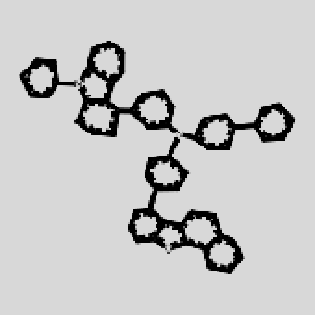 c1ccc(-c2ccc(N(c3ccc(-c4cccc5oc6c7ccccc7ccc6c45)cc3)c3cccc(-c4cccc5c4c4ccccc4n5-c4ccccc4)c3)cc2)cc1